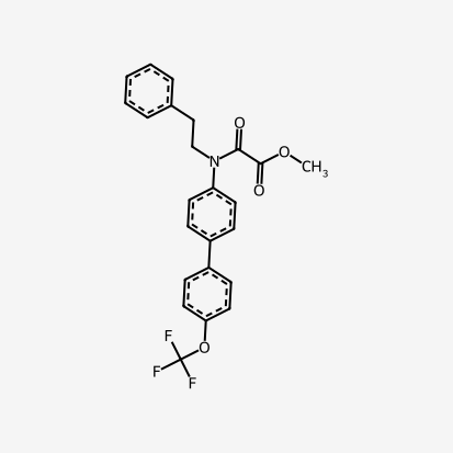 COC(=O)C(=O)N(CCc1ccccc1)c1ccc(-c2ccc(OC(F)(F)F)cc2)cc1